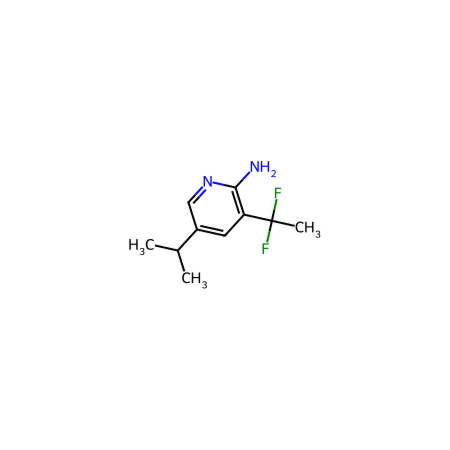 CC(C)c1cnc(N)c(C(C)(F)F)c1